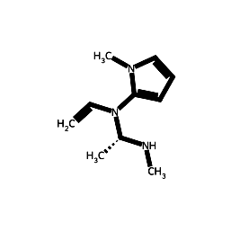 C=CN(c1cccn1C)[C@@H](C)NC